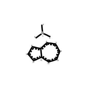 CN(C)C.c1ccc2cccc-2cc1